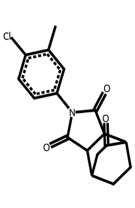 Cc1cc(N2C(=O)C3C4CCC(C(=O)C4)C3C2=O)ccc1Cl